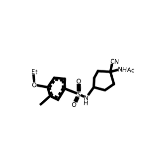 CCOc1ccc(S(=O)(=O)NC2CCC(C#N)(NC(C)=O)CC2)cc1C